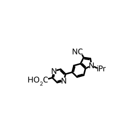 CC(C)n1cc(C#N)c2cc(-c3cnc(C(=O)O)cn3)ccc21